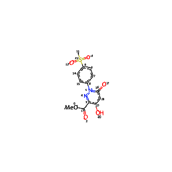 COC(=O)c1nn(-c2ccc(S(C)(=O)=O)cc2)c(=O)cc1O